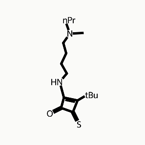 CCCN(C)CCCCNc1c(C(C)(C)C)c(=S)c1=O